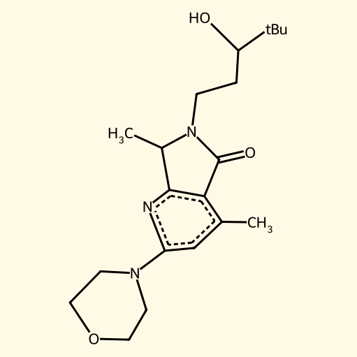 Cc1cc(N2CCOCC2)nc2c1C(=O)N(CCC(O)C(C)(C)C)C2C